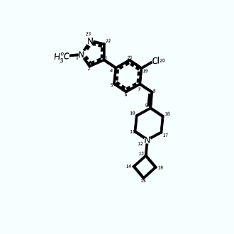 Cn1cc(-c2ccc(C=C3CCN(C4CCC4)CC3)c(Cl)c2)cn1